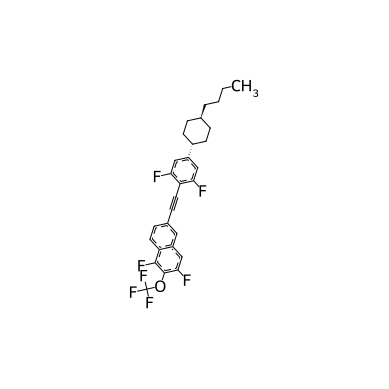 CCCC[C@H]1CC[C@H](c2cc(F)c(C#Cc3ccc4c(F)c(OC(F)(F)F)c(F)cc4c3)c(F)c2)CC1